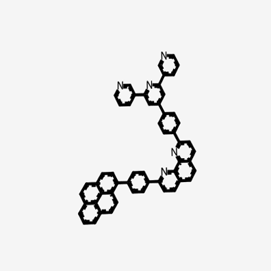 c1cncc(-c2cc(-c3ccc(-c4ccc5ccc6ccc(-c7ccc(-c8ccc9ccc%10cccc%11ccc8c9c%10%11)cc7)nc6c5n4)cc3)cc(-c3cccnc3)n2)c1